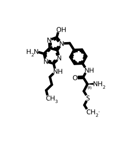 [CH2]CSC[C@H](N)C(=O)Nc1ccc(Cn2c(O)nc3c(N)nc(NCCCC)nc32)cc1